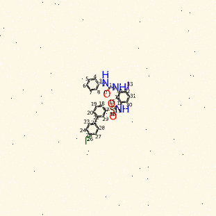 O=C(Nc1ccccc1)Nc1cc(NS(=O)(=O)c2cccc(-c3ccc(F)cc3)c2)ccc1I